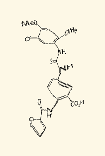 COc1cc(OC)c(NC(=S)Nc2ccc(NC(=O)c3ccco3)c(C(=O)O)c2)cc1Cl